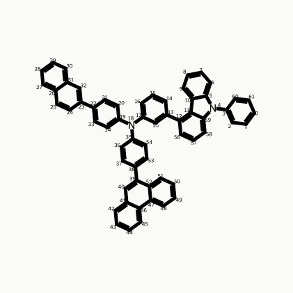 c1ccc(-n2c3ccccc3c3c(-c4cccc(N(c5ccc(-c6ccc7ccccc7c6)cc5)c5ccc(-c6cc7ccccc7c7ccccc67)cc5)c4)cccc32)cc1